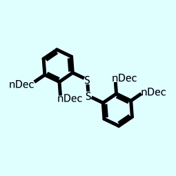 CCCCCCCCCCc1cccc(SSc2cccc(CCCCCCCCCC)c2CCCCCCCCCC)c1CCCCCCCCCC